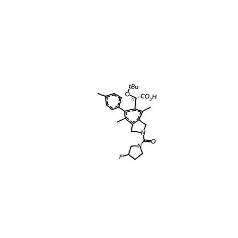 Cc1ccc(-c2c(C)c3c(c(C)c2[C@H](OC(C)(C)C)C(=O)O)CN(C(=O)N2CCC(F)C2)C3)cc1